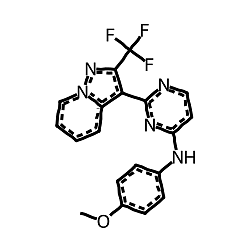 COc1ccc(Nc2ccnc(-c3c(C(F)(F)F)nn4ccccc34)n2)cc1